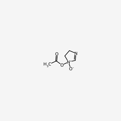 CC(=O)O[N+]1([O-])C=NCC1